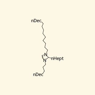 CCCCCCCCCCCCCCCCCCCN1C=CN(CCCCCCCCCCCCC)C1CCCCCCC